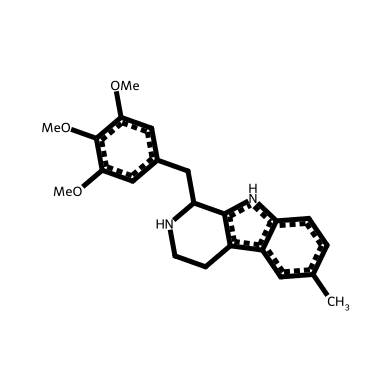 COc1cc(CC2NCCc3c2[nH]c2ccc(C)cc32)cc(OC)c1OC